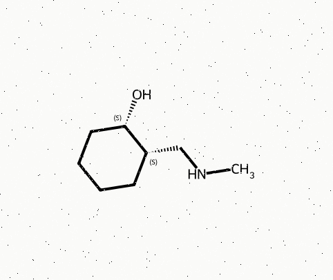 CNC[C@@H]1CCCC[C@@H]1O